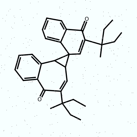 CCC(C)(CC)C1=CC2C(c3ccccc3C1=O)C21C=C(C(C)(CC)CC)C(=O)c2ccccc21